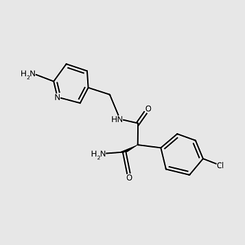 NC(=O)[C@@H](C(=O)NCc1ccc(N)nc1)c1ccc(Cl)cc1